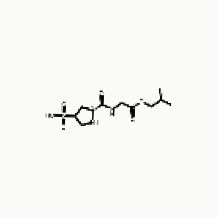 CC(C)COC(=O)CNC(=O)[C@@H]1CC(S(=O)(=O)O)CN1